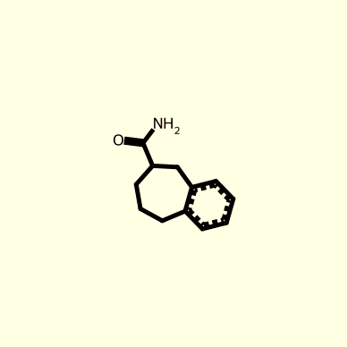 NC(=O)C1CCCc2ccccc2C1